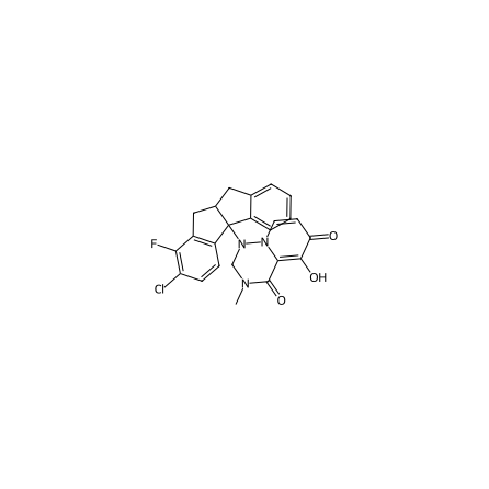 CN1CN(C23c4ccccc4CC2Cc2c3ccc(Cl)c2F)n2ccc(=O)c(O)c2C1=O